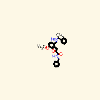 COc1ccc(CN[C@@H](C)c2ccccc2)c2cc(C(=O)NCc3ccccc3)oc12